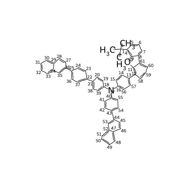 CC(C)(C)c1cccc2c1oc1c(-c3ccc(N(c4ccc(-c5ccc(-c6ccc7ccccc7c6)cc5)cc4)c4ccc(-c5ccc6ccccc6c5)cc4)cc3)cccc12